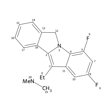 CCc1c2n(c3c(F)cc(F)cc13)Cc1ccccc1-2.CNC